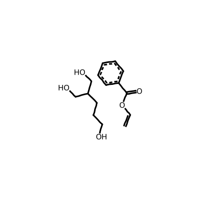 C=COC(=O)c1ccccc1.OCCCC(CO)CO